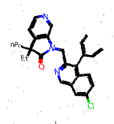 C=C/C(=C\C)c1c(CN2C(=O)C(CC)(CCC)c3ccncc32)ncc2cc(Cl)ccc12